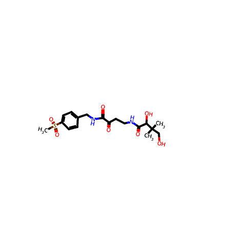 CC(C)(CO)C(O)C(=O)NCCC(=O)C(=O)NCc1ccc(S(C)(=O)=O)cc1